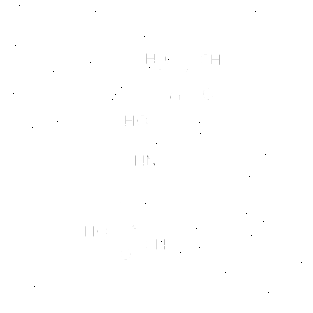 C=C(C)C(=O)OCC(O)CNC1CCCC(C)[C@H](C(=O)O)CC1